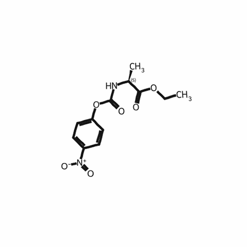 CCOC(=O)[C@H](C)NC(=O)Oc1ccc([N+](=O)[O-])cc1